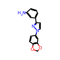 Nc1cccc(-c2ccn(-c3ccc4c(c3)OCO4)n2)c1